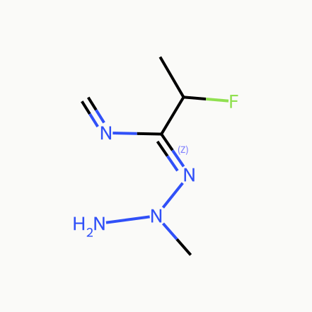 C=N/C(=N\N(C)N)C(C)F